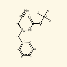 CC(C)(C)OC(=O)N[C@H](CC#N)Cc1ccccc1